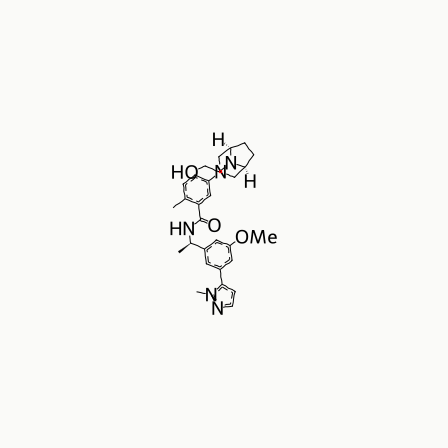 COc1cc(-c2ccnn2C)cc([C@@H](C)NC(=O)c2cc(N3C[C@H]4CC[C@@H](C3)N4CCO)ccc2C)c1